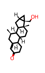 C[C@@H]1CC2=CC(=O)CC[C@@H]2[C@H]2CC[C@]3(C)[C@H](C[C@@H]4C[C@@]43CO)[C@@H]21